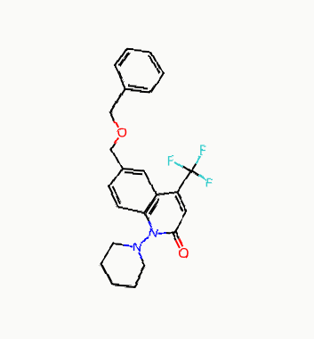 O=c1cc(C(F)(F)F)c2cc(COCc3ccccc3)ccc2n1N1CCCCC1